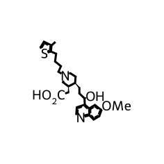 COc1ccc2nccc([C@@H](O)CC[C@@H]3CCN(CCCCc4sccc4C)C[C@@H]3CC(=O)O)c2c1